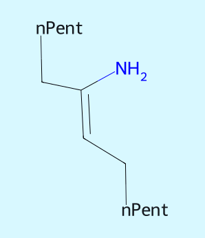 CCCCCC/C=C(\N)CCCCCC